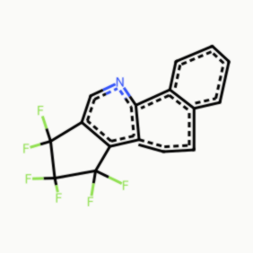 FC1(F)c2cnc3c(ccc4ccccc43)c2C(F)(F)C1(F)F